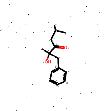 CC(C)CC(=O)C(C)(O)Cc1ccccc1